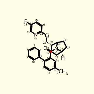 Cc1ccc(-c2ccccc2)c(C(=O)N2C3CC[C@H]2CC[C@@H]3COc2ccc(F)cn2)c1